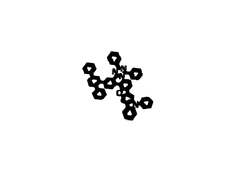 c1ccc(-c2ccc(-c3ccccc3)c(-c3ccc(-c4cccc5c4oc4cc6c7ccccc7n(-c7ccccc7)c6cc45)c(-c4nc(-c5ccccc5)nc(-c5ccccc5)n4)c3)c2)cc1